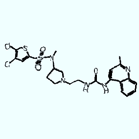 Cc1cc(NC(=O)NCCN2CCC(N(C)S(=O)(=O)c3cc(Cl)c(Cl)s3)C2)c2ccccc2n1